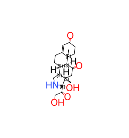 C[C@]12CCC(=O)C=C1CC[C@@H]1[C@@H]2C(=O)C[C@@]2(C)[C@H]1CN[C@]2(O)C(=O)CO